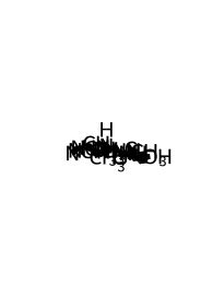 CN(C)[C@H](CNC(=O)NCCC1=CN(CC(C)(C)COC(C)(C)CCN=[N+]=[N-])NN1)Cc1ccc(O)cc1